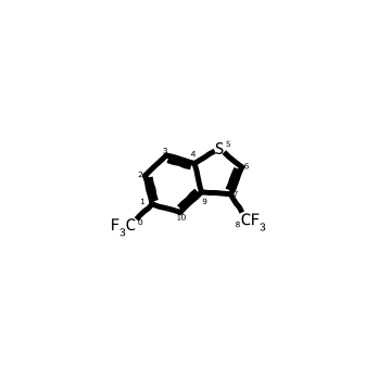 FC(F)(F)c1ccc2s[c]c(C(F)(F)F)c2c1